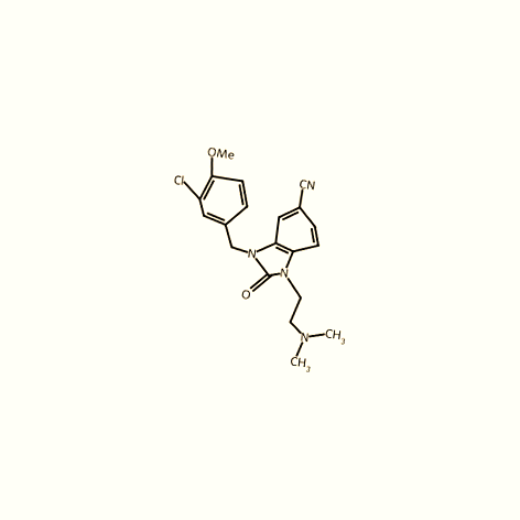 COc1ccc(Cn2c(=O)n(CCN(C)C)c3ccc(C#N)cc32)cc1Cl